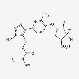 CCCN(C)C(=O)OCc1c(-c2ccc(O[C@H]3C[C@H](C(=O)O)[C@@H]4C[C@H]43)c(C)n2)nnn1C